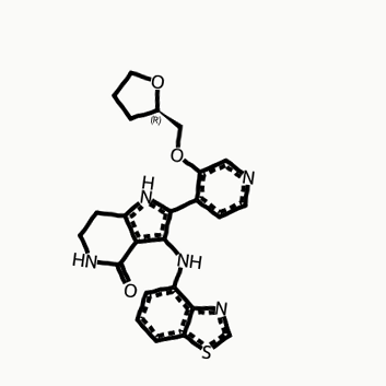 O=C1NCCc2[nH]c(-c3ccncc3OC[C@H]3CCCO3)c(Nc3cccc4scnc34)c21